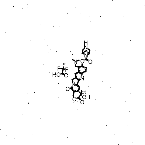 CC[C@@]1(O)C(=O)OCc2c1cc1n(c2=O)Cc2cc3c(CN(C)C)c(OC(=O)N4C5CNCC4C5)ccc3nc2-1.O=C(O)C(F)(F)F